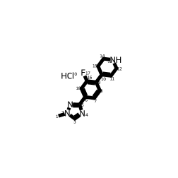 Cl.Cn1cnc(-c2ccc(C3=CCNCC3)c(F)c2)n1